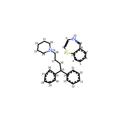 C1=CSc2ccccc2C=N1.c1ccc(C(CCCN2CCCCC2)c2ccccc2)cc1